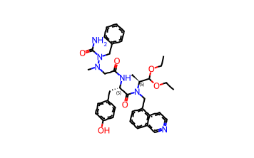 CCOC(OCC)[C@H](C)N(Cc1cccc2cnccc12)C(=O)[C@H](Cc1ccc(O)cc1)NC(=O)CN(C)N(Cc1ccccc1)C(N)=O